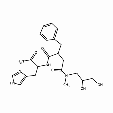 CN(CC(O)CO)C(=O)CC(Cc1ccccc1)C(=O)NC(Cc1c[nH]cn1)C(N)=O